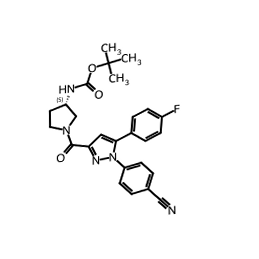 CC(C)(C)OC(=O)N[C@H]1CCN(C(=O)c2cc(-c3ccc(F)cc3)n(-c3ccc(C#N)cc3)n2)C1